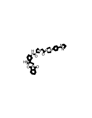 O=C(Nc1ccc2[nH]nc(CN3C(=O)c4ccccc4C3=O)c2c1)[C@@H]1CCN(CC(=O)N2CCN(c3ccc(-c4ncccn4)cc3)CC2)C1